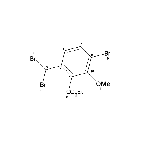 CCOC(=O)c1c(C(Br)Br)ccc(Br)c1OC